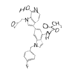 CS(=O)(=O)Nc1cc(-c2cn(CC3CO3)c3c(O)nccc23)cc2c1ccn2Cc1ccc(F)cc1